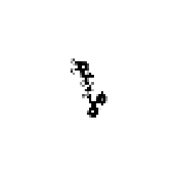 CC(=O)C(=Cc1cccc(Cl)c1Cl)C(=O)OC(C)CN(C)CCC(c1ccccc1)c1ccccc1